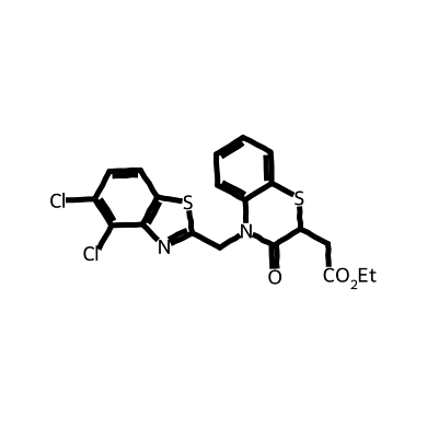 CCOC(=O)CC1Sc2ccccc2N(Cc2nc3c(Cl)c(Cl)ccc3s2)C1=O